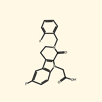 O=C(O)Cn1c2c(c3cc(F)ccc31)CCN(Cc1ccccc1F)C2=O